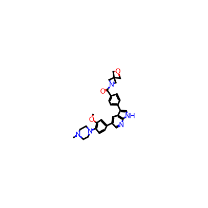 COc1cc(-c2cnc3[nH]cc(-c4ccc(C(=O)N5CC6(COC6)C5)cc4)c3c2)ccc1N1CCN(C)CC1